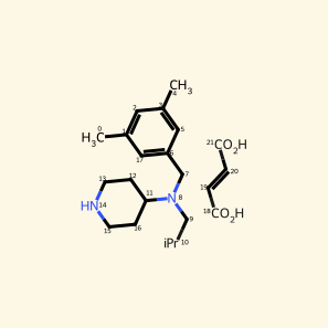 Cc1cc(C)cc(CN(CC(C)C)C2CCNCC2)c1.O=C(O)C=CC(=O)O